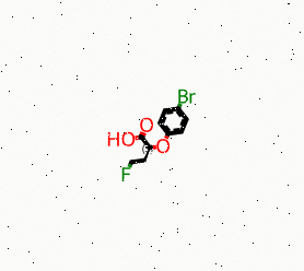 O=C(O)[C@H](CCF)Oc1ccc(Br)cc1